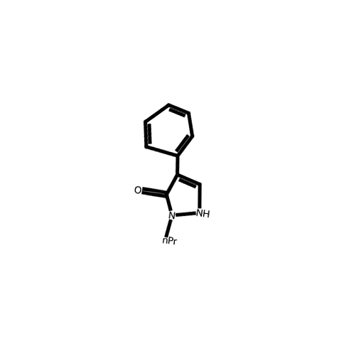 CCCn1[nH]cc(-c2ccccc2)c1=O